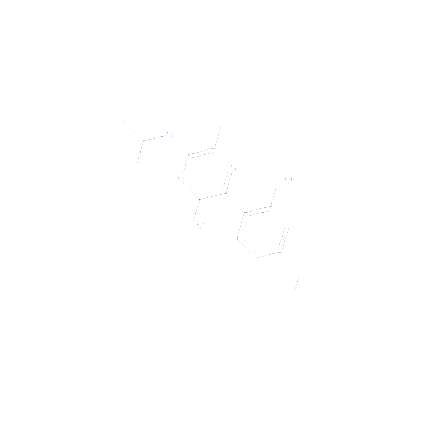 CCc1nc(-c2ccc(OC(F)(F)F)cc2OC)c(SC)nc1NC(CC)CC